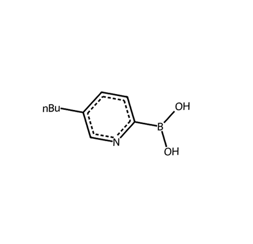 CCCCc1ccc(B(O)O)nc1